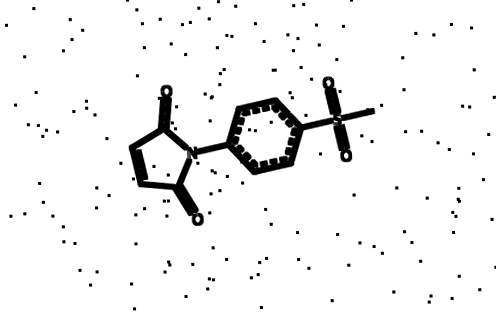 CS(=O)(=O)c1ccc(N2C(=O)C=CC2=O)cc1